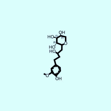 COc1cc(CCC(O)CC2OC[C@@H](O)[C@H](O)[C@H]2O)ccc1O